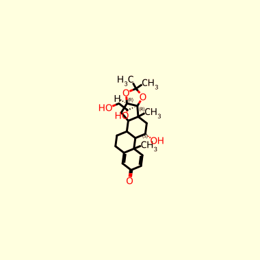 CC1(C)O[C@@H]2CC3C4CCC5=CC(=O)C=CC5(C)C4[C@@H](O)CC3(C)[C@]2(C(O)CO)O1